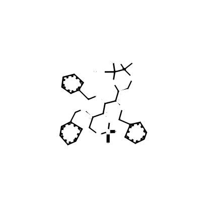 COC1(C)OC[C@@H]([C@@H](OCc2ccccc2)[C@@H](OCc2ccccc2)[C@@H]2OS(=O)(=O)OC[C@H]2OCc2ccccc2)OC1(C)OC